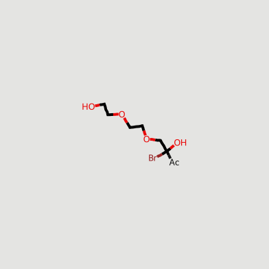 CC(=O)C(O)(Br)COCCOCCO